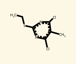 CCSc1nc(Cl)c(C)c(Cl)n1